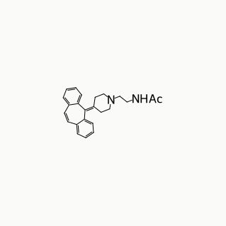 CC(=O)NCCN1CCC(=C2c3ccccc3C=Cc3ccccc32)CC1